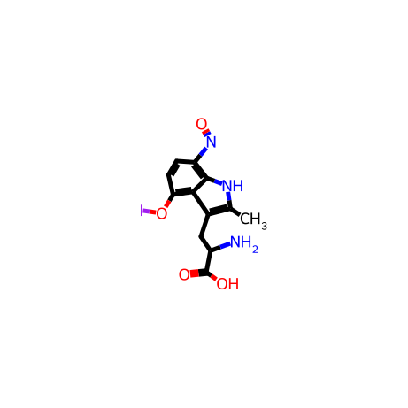 Cc1[nH]c2c(N=O)ccc(OI)c2c1CC(N)C(=O)O